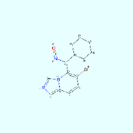 O=NC(c1c(Br)ccc2cncn12)C1CCCCC1